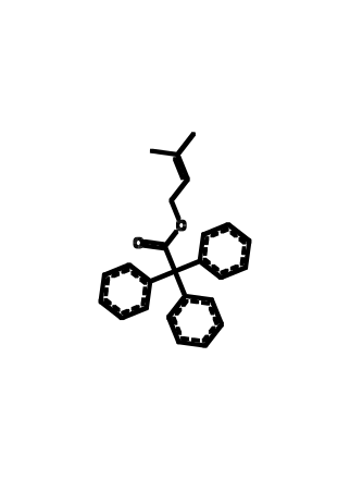 CC(C)=CCOC(=O)C(c1ccccc1)(c1ccccc1)c1ccccc1